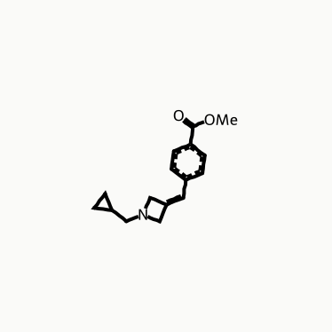 COC(=O)c1ccc(C=C2CN(CC3CC3)C2)cc1